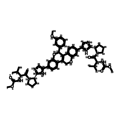 C=C([C@@H](NC(=O)OC)C(C)C)N1CCC[C@H]1c1ncc(-c2ccc3c(c2)OC(c2cccc(OC)c2)C2=C3COc3cc(-c4cnc([C@@H]5CCCN5C(=O)[C@@H](NC(=O)OC)C(C)C)[nH]4)ccc32)[nH]1